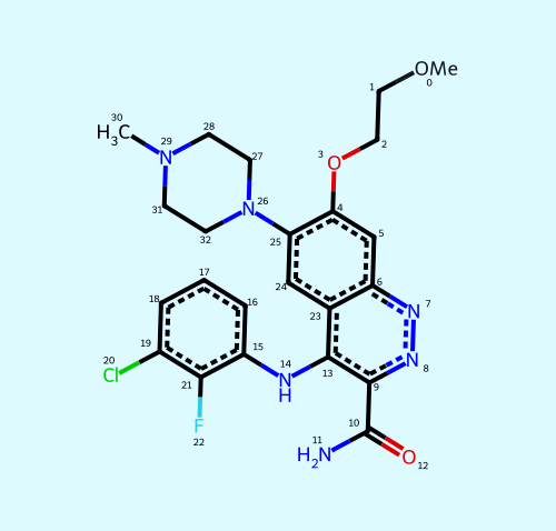 COCCOc1cc2nnc(C(N)=O)c(Nc3cccc(Cl)c3F)c2cc1N1CCN(C)CC1